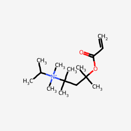 C=CC(=O)OC(C)(C)CC(C)(C)[N+](C)(C)C(C)C